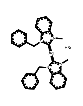 Br.Cn1[c](=[Ag]=[c]2n(C)c3ccccc3n2Cc2ccccc2)n(Cc2ccccc2)c2ccccc21